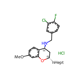 CCCCCCC[C@H]1C[C@H](NCc2ccc(F)c(Cl)c2)c2ccc(OC)cc2O1.Cl